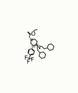 C=C(C[C@@H]1CC[C@@H](N(CCC2CCCCC2)CC2CCCCC2)[C@H](c2ccc(C(F)(F)F)cc2)C1)OCC